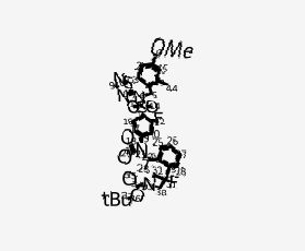 COc1ccc(CN(c2ncns2)S(=O)(=O)c2cc3oc(=O)n([C@H](C)c4ccccc4C4(F)CN(C(=O)OC(C)(C)C)C4)c3cc2F)c(C)c1